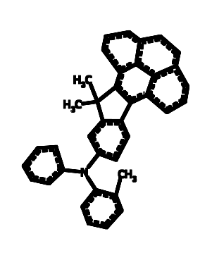 Cc1ccccc1N(c1ccccc1)c1ccc2c(c1)C(C)(C)c1c-2c2cccc3ccc4cccc1c4c32